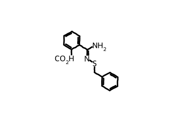 N/C(=N\SCc1ccccc1)c1ccccc1C(=O)O